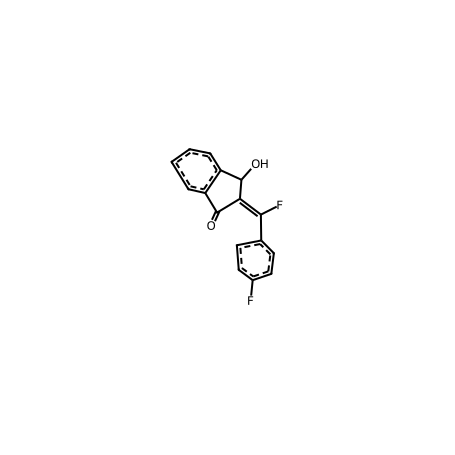 O=C1C(=C(F)c2ccc(F)cc2)C(O)c2ccccc21